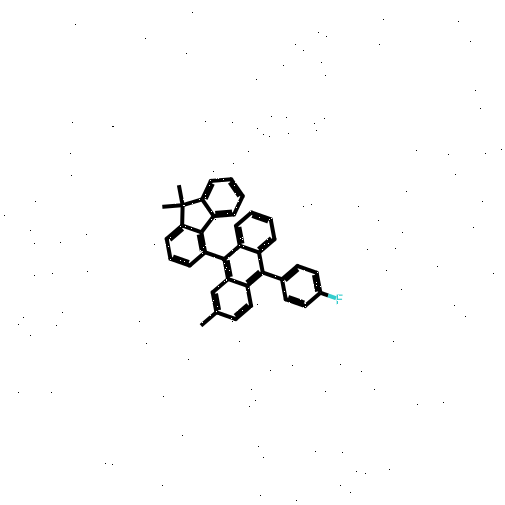 Cc1ccc2c(-c3ccc(F)cc3)c3ccccc3c(-c3cccc4c3-c3ccccc3C4(C)C)c2c1